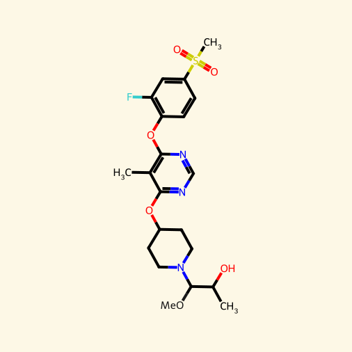 COC(C(C)O)N1CCC(Oc2ncnc(Oc3ccc(S(C)(=O)=O)cc3F)c2C)CC1